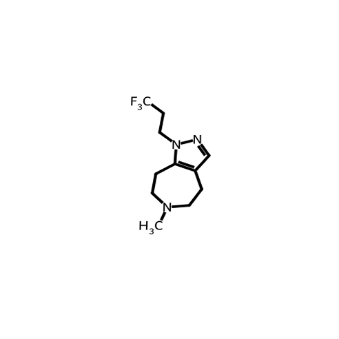 CN1CCc2cnn(CCC(F)(F)F)c2CC1